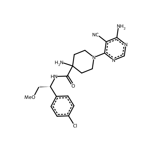 COC[C@H](NC(=O)C1(N)CCN(c2ncnc(N)c2C#N)CC1)c1ccc(Cl)cc1